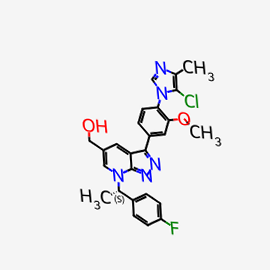 COc1cc(-c2nnc3n([C@@H](C)c4ccc(F)cc4)cc(CO)cc2-3)ccc1-n1cnc(C)c1Cl